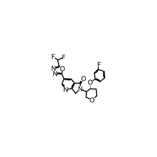 O=C1c2cc(-c3nnc(C(F)F)o3)cnc2CN1C1COCC[C@H]1Oc1cccc(F)c1